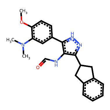 COc1ccc(-c2[nH]nc(C3Cc4ccccc4C3)c2NC=O)cc1N(C)C